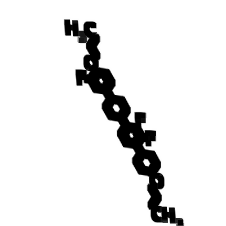 CCCCOc1ccc(C2CCC(c3ccc(C4CCC(OCCCC)CC4)c(F)c3F)CC2)cc1F